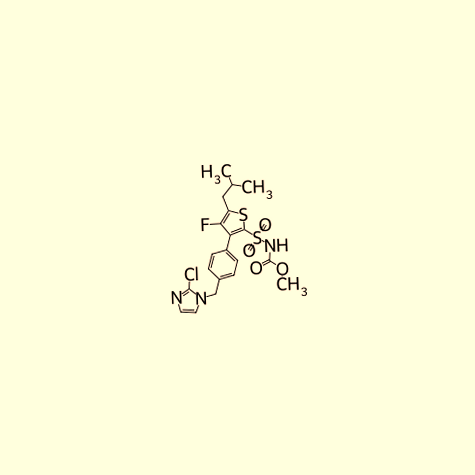 COC(=O)NS(=O)(=O)c1sc(CC(C)C)c(F)c1-c1ccc(Cn2ccnc2Cl)cc1